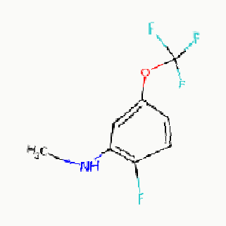 CNc1cc(OC(F)(F)F)ccc1F